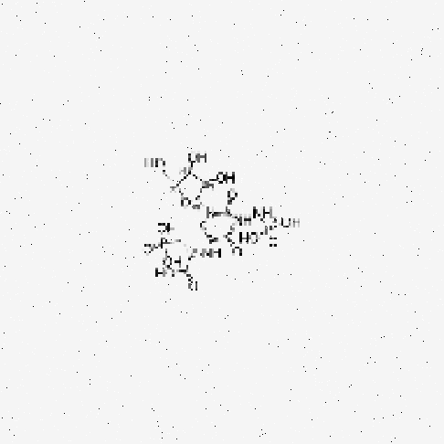 NP(=O)(O)O.O=C(O)[C@H](CP(=O)(O)O)Nc1cn([C@@H]2O[C@H](CO)[C@@H](O)[C@H]2O)c(=O)[nH]c1=O